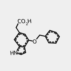 O=C(O)Cc1cc(OCc2ccccc2)c2cc[nH]c2c1